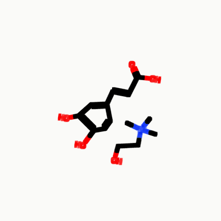 C[N+](C)(C)CCO.O=C(O)C=Cc1ccc(O)c(O)c1